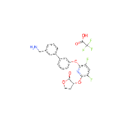 NCc1cccc(-c2cccc(Oc3nc(OC4CCOC4=O)c(F)cc3F)c2)c1.O=C(O)C(F)(F)F